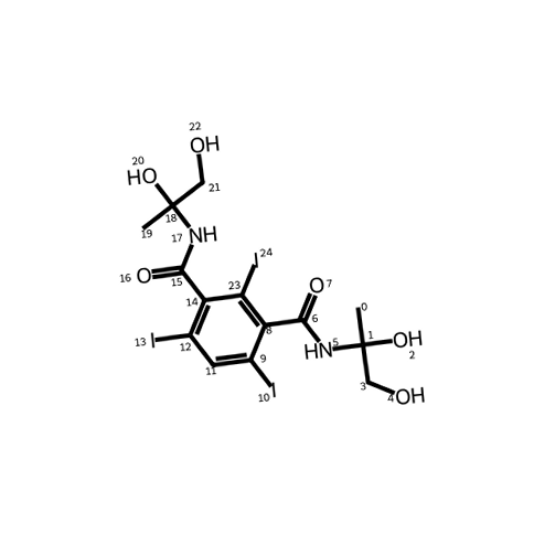 CC(O)(CO)NC(=O)c1c(I)cc(I)c(C(=O)NC(C)(O)CO)c1I